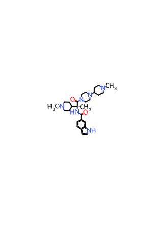 CN1CCC(N2CCN(C(=O)[C@@](C)(NC(=O)c3ccc4cc[nH]c4c3)C3CCN(C)CC3)CC2)CC1